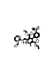 CCOC(=O)C1=C(C)NC(CSC2=NCCCN2C=O)=C(C(=O)OCC)C1c1cccc([N+](=O)[O-])c1